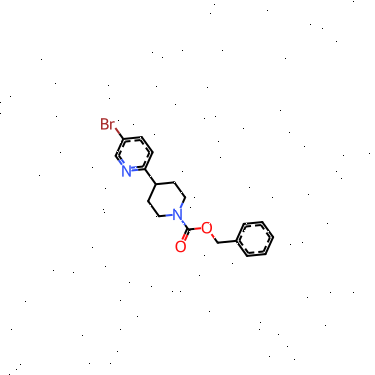 O=C(OCc1ccccc1)N1CCC(c2ccc(Br)cn2)CC1